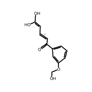 O=C(/C=C/C=C(O)O)c1cccc(OCO)c1